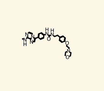 CNc1nccn2c(-c3ccc(NC(=O)NCCc4ccc(OCCN5CCOCC5)cc4)cc3)cnc12